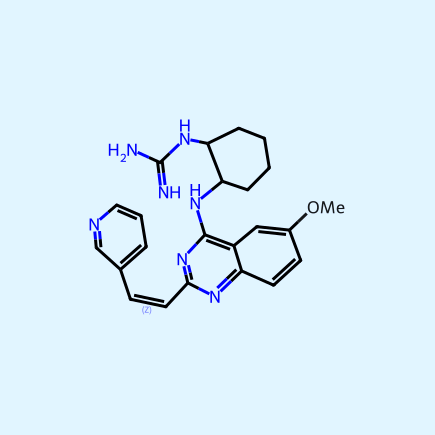 COc1ccc2nc(/C=C\c3cccnc3)nc(NC3CCCCC3NC(=N)N)c2c1